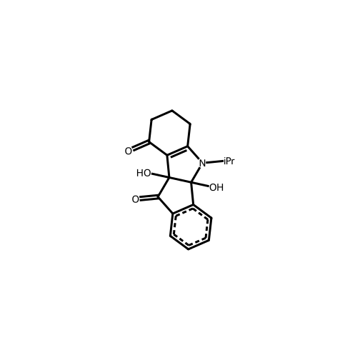 CC(C)N1C2=C(C(=O)CCC2)C2(O)C(=O)c3ccccc3C12O